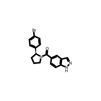 O=C(c1ccc2[nH]ncc2c1)N1CCC[C@H]1c1ccc(Br)cc1